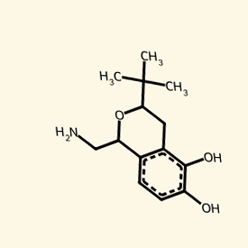 CC(C)(C)C1Cc2c(ccc(O)c2O)C(CN)O1